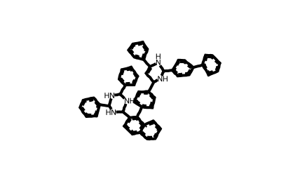 C1=C(c2ccccc2)NC(c2ccc(-c3ccccc3)cc2)NC1c1ccc(-c2c(C3NC(c4ccccc4)NC(c4ccccc4)N3)ccc3ccccc23)cc1